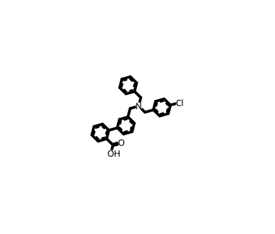 O=C(O)c1ccccc1-c1cccc(CN(Cc2ccccc2)Cc2ccc(Cl)cc2)c1